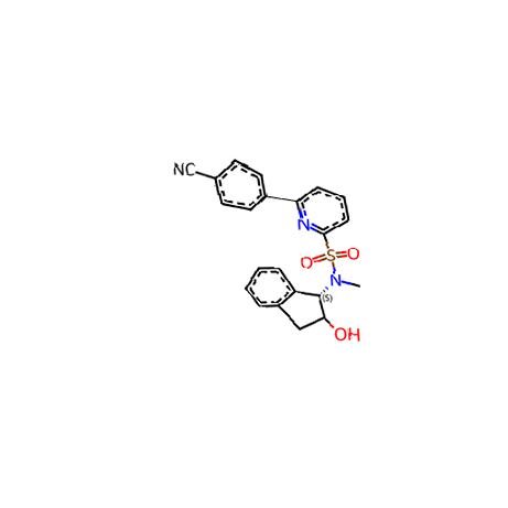 CN([C@H]1c2ccccc2CC1O)S(=O)(=O)c1cccc(-c2ccc(C#N)cc2)n1